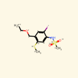 CCOCc1cc(I)c(NS(C)(=O)=O)cc1SC